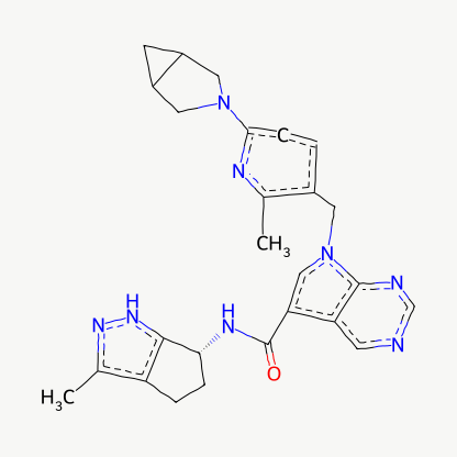 Cc1nc(N2CC3CC3C2)ccc1Cn1cc(C(=O)N[C@@H]2CCc3c(C)n[nH]c32)c2cncnc21